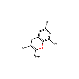 CCCCCCC1=C(C(C)=O)Cc2cc(C(C)C)cc(C(C)C)c2O1